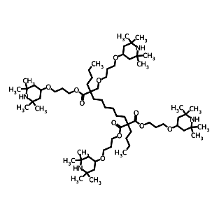 CCCCC(CCCCCCC(CCCC)(C(=O)OCCCOC1CC(C)(C)NC(C)(C)C1)C(=O)OCCCOC1CC(C)(C)NC(C)(C)C1)(COCCCOC1CC(C)(C)NC(C)(C)C1)C(=O)OCCCOC1CC(C)(C)NC(C)(C)C1